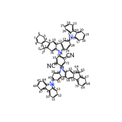 CC1(C)C2=C(CCC=C2)c2cc3c4cc(-n5c6ccccc6c6ccccc65)ccc4n(-c4cc(C#N)c(-n5c6ccc(-n7c8ccccc8c8ccccc87)cc6c6cc7c(cc65)C(C)(C)c5ccccc5-7)cc4C#N)c3cc21